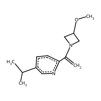 C=C(c1ccc(C(C)C)cn1)N1CC(OC)C1